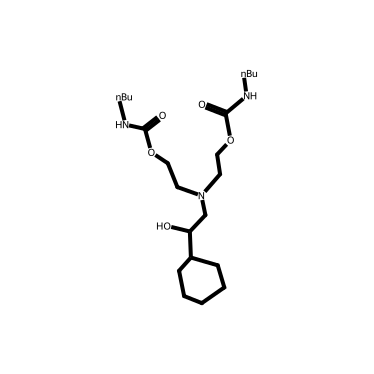 CCCCNC(=O)OCCN(CCOC(=O)NCCCC)CC(O)C1CCCCC1